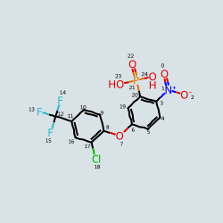 O=[N+]([O-])c1ccc(Oc2ccc(C(F)(F)F)cc2Cl)cc1P(=O)(O)O